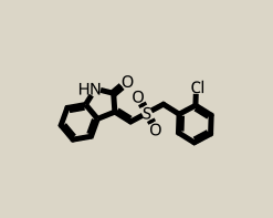 O=C1Nc2ccccc2C1=CS(=O)(=O)Cc1ccccc1Cl